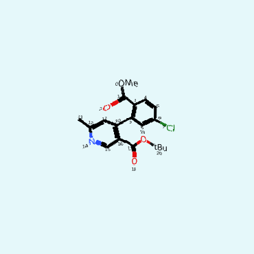 COC(=O)c1ccc(Cl)cc1-c1cc(C)ncc1C(=O)OC(C)(C)C